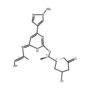 CCC/C=C(C)/N=c1/cc(-c2cnn(C(C)(C)C)c2)nc(O[C@H](C)[C@@H]2CC(=O)CC(CC)C2)[nH]1